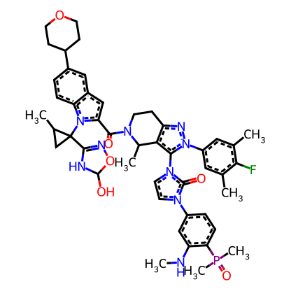 CNc1cc(-n2ccn(-c3c4c(nn3-c3cc(C)c(F)c(C)c3)CCN(C(=O)c3cc5cc(C6CCOCC6)ccc5n3C3(C5=NOC(O)N5)CC3C)C4C)c2=O)ccc1P(C)(C)=O